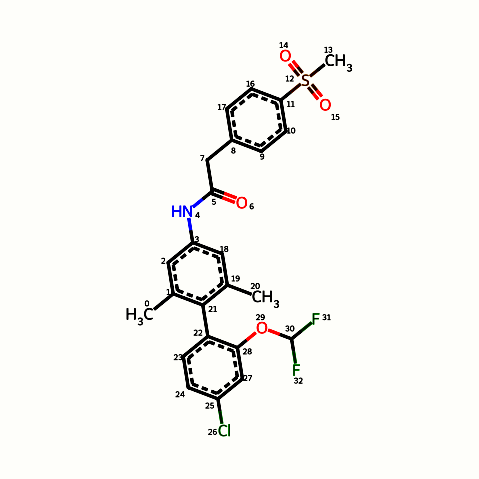 Cc1cc(NC(=O)Cc2ccc(S(C)(=O)=O)cc2)cc(C)c1-c1ccc(Cl)cc1OC(F)F